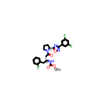 CC(C)(C)OC(=O)N[C@@H](CC(=O)N1CCC[C@H]1c1nc(-c2cc(F)cc(F)c2)no1)Cc1ccccc1F